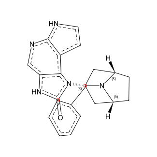 O=c1[nH]c2cnc3[nH]ccc3c2n1[C@H]1C[C@H]2CC[C@@H](C1)N2Cc1ccccc1